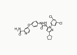 NC(=O)c1cc(Oc2ccc(NC(=O)Nc3cc(C4CCCC4)nn3-c3cc(Cl)cc(Cl)c3)cc2)ccn1